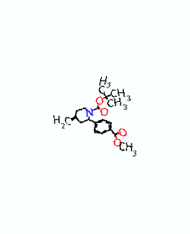 C=C1CCN(C(=O)OC(C)(C)C)C(c2ccc(C(=O)OC)cc2)C1